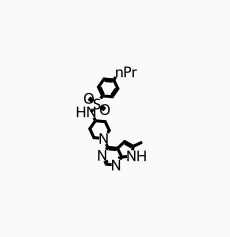 CCCc1ccc(S(=O)(=O)NC2CCN(c3ncnc4[nH]c(C)cc34)CC2)cc1